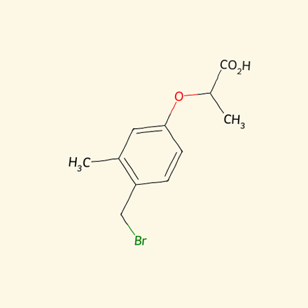 Cc1cc(OC(C)C(=O)O)ccc1CBr